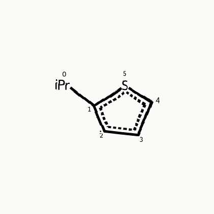 CC(C)c1[c]ccs1